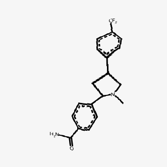 CN1CC(c2ccc(C(F)(F)F)cc2)CC1c1ccc(C(N)=O)cc1